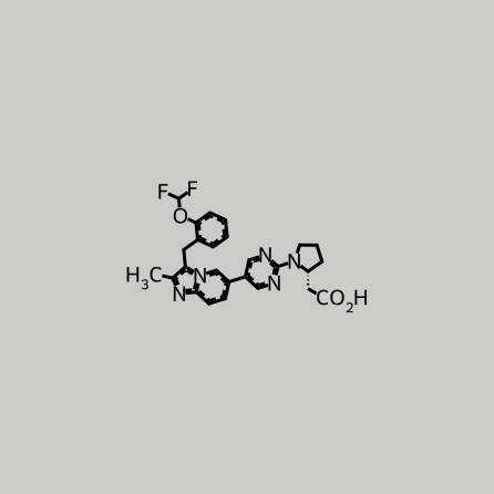 Cc1nc2ccc(-c3cnc(N4CCC[C@@H]4CC(=O)O)nc3)cn2c1Cc1ccccc1OC(F)F